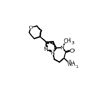 CN1C(=O)C(N)CCn2nc(C3CCOCC3)cc21